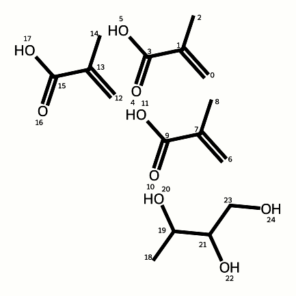 C=C(C)C(=O)O.C=C(C)C(=O)O.C=C(C)C(=O)O.CC(O)C(O)CO